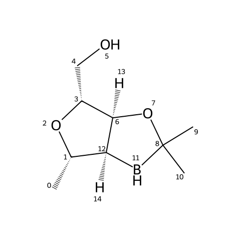 C[C@@H]1O[C@H](CO)[C@H]2OC(C)(C)B[C@H]21